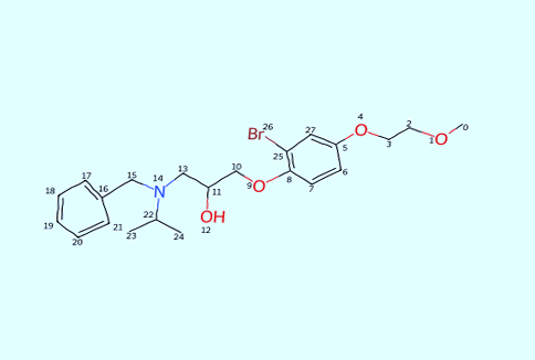 COCCOc1ccc(OCC(O)CN(Cc2ccccc2)C(C)C)c(Br)c1